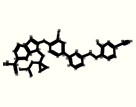 CN(C)CC1(Cn2c(Cc3ccc(-c4cccc(OCc5ccc(C#N)cc5F)n4)cc3F)nc3ccc(C(=O)O)cc32)CC1